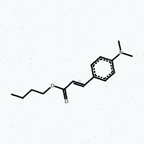 CCCCOC(=O)/C=C/c1ccc(N(C)C)cc1